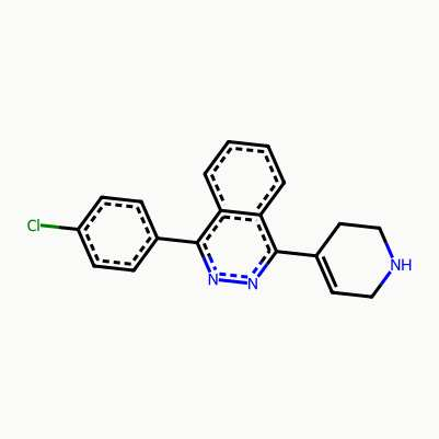 Clc1ccc(-c2nnc(C3=CCNCC3)c3ccccc23)cc1